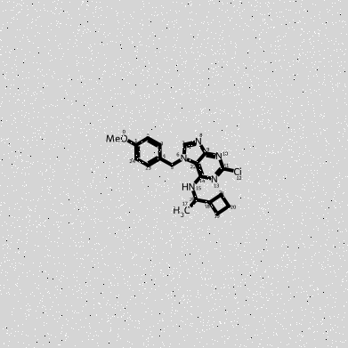 COc1ccc(Cn2cnc3nc(Cl)nc(NC(C)C4CCC4)c32)cc1